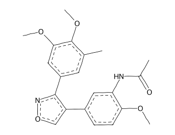 COc1ccc(-c2conc2-c2cc(C)c(OC)c(OC)c2)cc1NC(C)=O